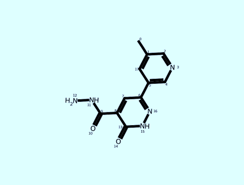 Cc1cncc(-c2cc(C(=O)NN)c(=O)[nH]n2)c1